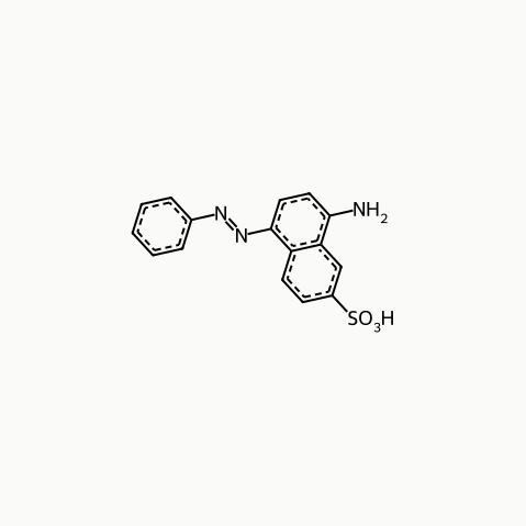 Nc1ccc(N=Nc2ccccc2)c2ccc(S(=O)(=O)O)cc12